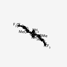 COc1cc(C=CC(=O)c2cc(N)ccc2-c2ccc(N)c(C)c2C(=O)C=Cc2ccc(OC(=O)c3ccc(OCCCC(F)(F)C(F)(F)F)cc3)c(OC)c2)ccc1OC(=O)c1ccc(OCCCC(F)(F)C(F)(F)F)cc1